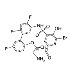 C[C@@H](CN)Oc1ccc(F)cc1-c1cc(NS(=O)(=O)c2cc(C=O)cc(Br)c2O)c(F)cc1F